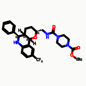 CC(C)(C)OC(=O)N1CCN(C(=O)NC[C@H]2CC[C@@H]3[C@H](O2)c2cc(C(F)(F)F)ccc2N[C@H]3c2ccccc2)CC1